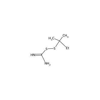 CCC(C)(C)SSC(=N)N